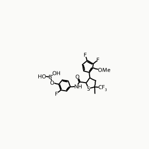 COc1c(C2CC(C)(C(F)(F)F)SC2C(=O)Nc2ccc(OB(O)O)c(F)c2)ccc(F)c1F